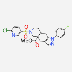 COC(=O)C12Cc3cnn(-c4ccc(F)cc4)c3C=C1CCN(S(=O)(=O)c1ccc(Cl)nc1)C2